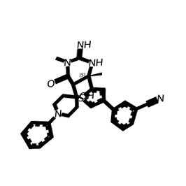 CN1C(=N)N[C@](C)(c2cc(-c3cccc(C#N)c3)cs2)C(C2(O)CCN(c3ccccc3)CC2)C1=O